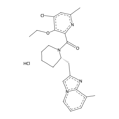 CCOc1c(Cl)cc(C)nc1C(=O)N1CCCC[C@H]1Cc1cn2cccc(C)c2n1.Cl